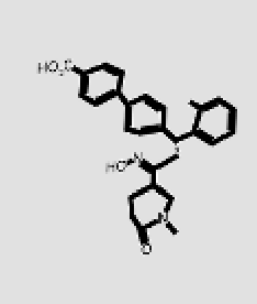 Cc1ccccc1[C@H](CC(=NO)C1CCC(=O)N(C)C1)c1ccc(-c2ccc(C(=O)O)cc2)cc1